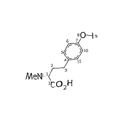 CN[C@H](CCc1ccc(OI)cc1)C(=O)O